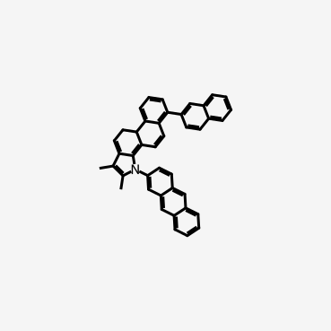 Cc1c(C)n(-c2ccc3cc4ccccc4cc3c2)c2c1=CCC1C=2C=Cc2c(-c3ccc4ccccc4c3)cccc21